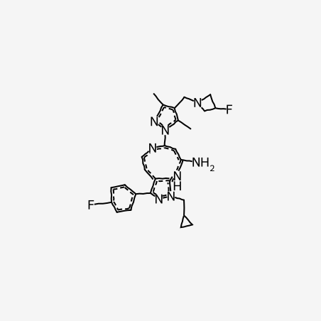 Cc1nn(-c2cc(N)[nH]c3c(ccn2)c(-c2ccc(F)cc2)nn3CC2CC2)c(C)c1CN1CC(F)C1